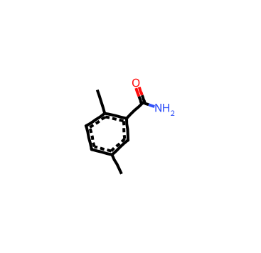 Cc1ccc(C)c(C(N)=O)c1